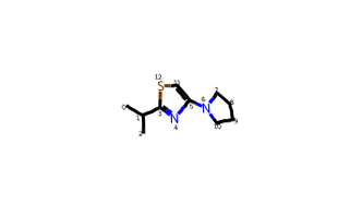 CC(C)c1nc(N2CCCC2)cs1